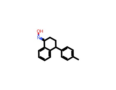 Cc1ccc(C2CCC(=NO)c3ccccc32)cc1